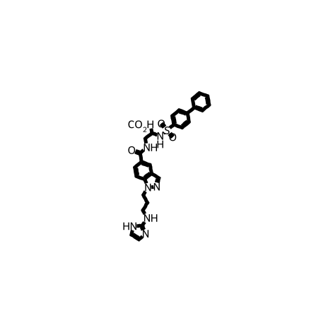 O=C(NCC(NS(=O)(=O)c1ccc(-c2ccccc2)cc1)C(=O)O)c1ccc2c(cnn2CCCNc2ncc[nH]2)c1